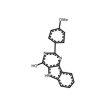 COc1ccc(-c2nc(O)c3[nH]c4ccccc4c3n2)cc1